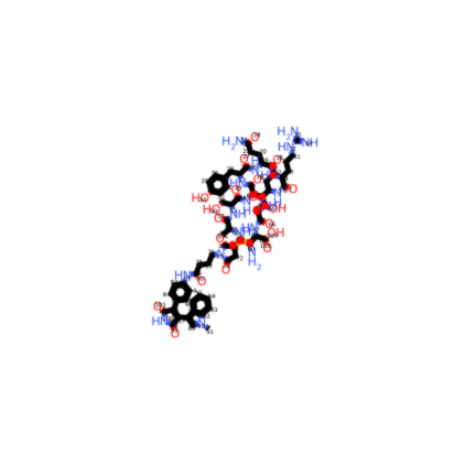 CC(C)CC(NC(=O)C(CCCNC(=N)N)NC(=O)C(CCC(N)=O)NC(=O)C(Cc1ccc(O)cc1)NC(=O)C(CC(=O)O)NC(=O)C(CO)NC(=O)C(C)NC(=O)CN)C(=O)NCC(=O)NC(CSC1CC(=O)N(CCCC(=O)Nc2ccc(C3=C(c4cn(C)c5ccccc45)C(=O)NC3=O)cc2)C1=O)C(=O)O